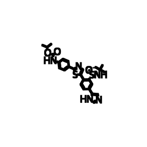 CC(C)OC(=O)Nc1ccc(-c2ncc(-c3ccc(-c4cnc[nH]4)cc3[S+]([O-])NC(C)(C)C)s2)cc1